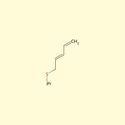 C=C/C=C/CSC(C)C